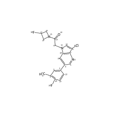 Cc1cc(-c2cnc3c(Cl)cn(CC(=O)N4CC(F)C4)c3c2)ccc1F